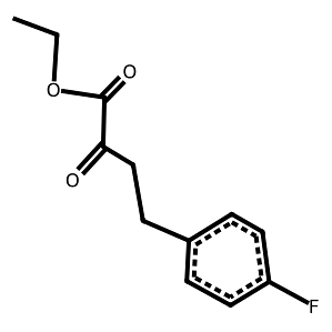 CCOC(=O)C(=O)CCc1ccc(F)cc1